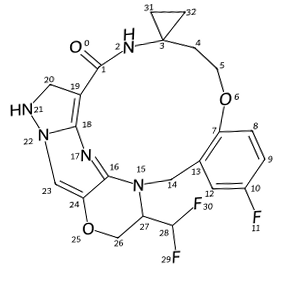 O=C1NC2(CCOc3ccc(F)cc3CN3C4=NC5=C1CNN5C=C4OCC3C(F)F)CC2